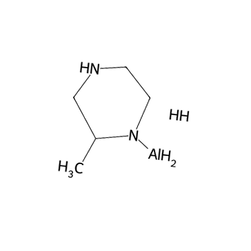 CC1CNCC[N]1[AlH2].[HH]